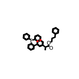 CC(C(=O)OCCCc1ccccc1)c1cccc(-c2ccccc2P(c2ccccc2)c2ccccc2)c1